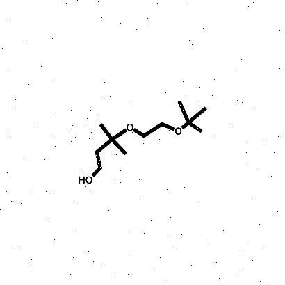 CC(C)(C)OCCOC(C)(C)CCO